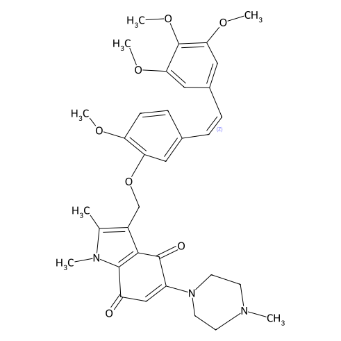 COc1ccc(/C=C\c2cc(OC)c(OC)c(OC)c2)cc1OCc1c2c(n(C)c1C)C(=O)C=C(N1CCN(C)CC1)C2=O